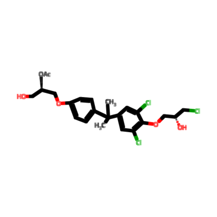 CC(=O)O[C@H](CO)COc1ccc(C(C)(C)c2cc(Cl)c(OC[C@@H](O)CCl)c(Cl)c2)cc1